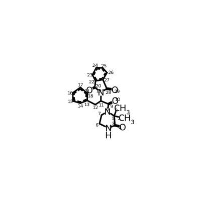 CC1(C)C(=O)NCCN1C(=O)C(Cc1ccccc1)N1C(=O)c2ccccc2C1=O